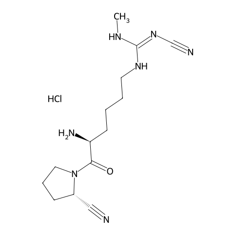 CN/C(=N/C#N)NCCCC[C@H](N)C(=O)N1CCC[C@H]1C#N.Cl